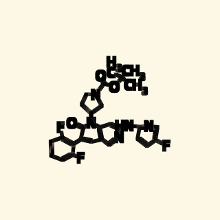 CC(C)(C)OC(=O)N1CC[C@H](n2c(=O)c(-c3c(F)cccc3F)cc3cnc(Nc4ccc(F)cn4)cc32)C1